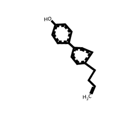 C=CCCc1ccc(-c2ccc(O)cc2)cc1